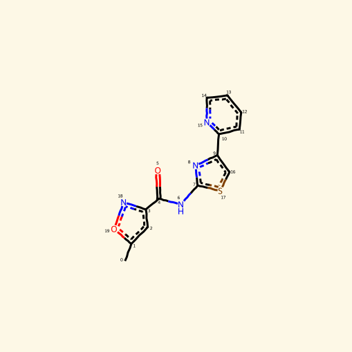 Cc1cc(C(=O)Nc2nc(-c3ccccn3)cs2)no1